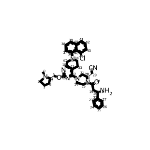 CN1CCC[C@H]1COc1nc2c(c(N3CCN(C(=O)C[C@@H](N)c4ccccc4)[C@@H](CC#N)C3)n1)CCN(c1cccc3cccc(Cl)c13)C2